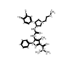 COCCN1C[C@@H](NC(=O)Nc2c(C)c(C(=O)N(C)C)nn2-c2ccccc2)[C@H](c2ccc(F)c(F)c2)C1